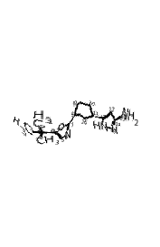 CC(C)(C)c1cnc([C@H]2CC[C@@H](c3cc(N)n[nH]3)C2)o1